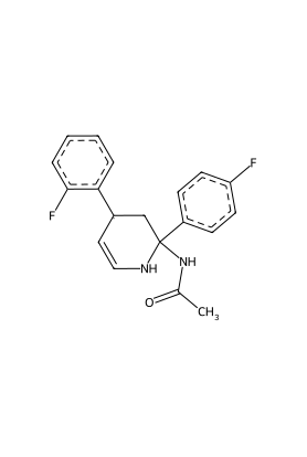 CC(=O)NC1(c2ccc(F)cc2)C[C](c2ccccc2F)C=CN1